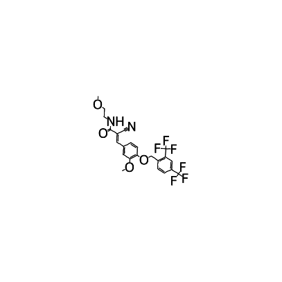 COCCNC(=O)/C(C#N)=C/c1ccc(OCc2ccc(C(F)(F)F)cc2C(F)(F)F)c(OC)c1